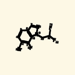 Fc1c(Br)ccc2cnn(CC(F)F)c12